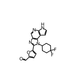 O=Cc1ccc(-c2nc3cnc4[nH]ccc4c3n2C2CCC(F)(F)CC2)o1